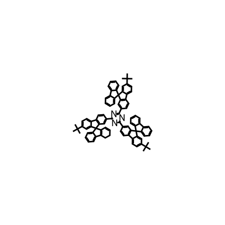 CC(C)(C)c1ccc2c(c1)C1(C3=C(CCC=C3)c3ccccc31)c1cc(-c3nc(-c4ccc5c(c4)C4(c6ccccc6-c6ccccc64)c4cc(C(C)(C)C)ccc4-5)nc(-c4ccc5c(c4)C4(c6ccccc6-c6ccccc64)c4cc(C(C)(C)C)ccc4-5)n3)ccc1-2